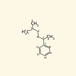 CC(C)C[CH]C(C)c1ccccc1